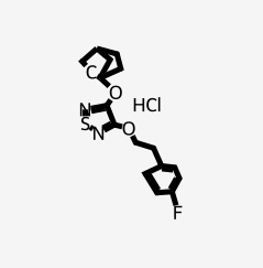 Cl.Fc1ccc(CCOc2nsnc2OC23CCC(CC2)C3)cc1